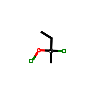 CC[Si](C)(Cl)OCl